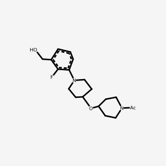 CC(=O)N1CCC(OC2CCN(c3cccc(CO)c3F)CC2)CC1